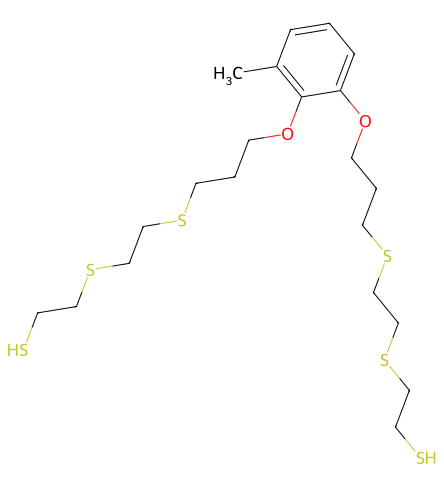 Cc1cccc(OCCCSCCSCCS)c1OCCCSCCSCCS